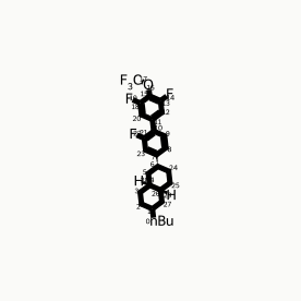 CCCCC1CC[C@@H]2C[C@H](c3ccc(-c4cc(F)c(OC(F)(F)F)c(F)c4)c(F)c3)CC[C@@H]2C1